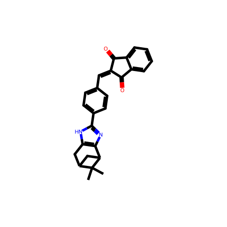 CC1(C)C2Cc3[nH]c(-c4ccc(C=C5C(=O)c6ccccc6C5=O)cc4)nc3C1C2